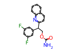 NC(=O)OCC(c1cc(F)cc(F)c1)c1ccc2ccccc2n1